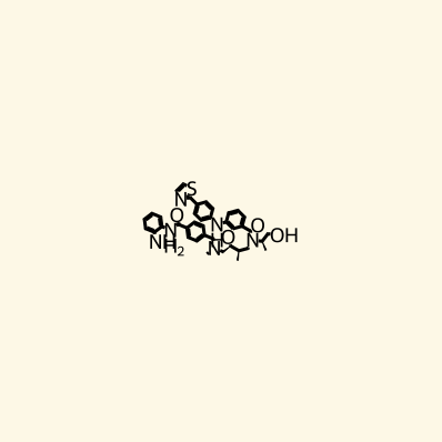 C[C@@H]1CN([C@H](C)CO)C(=O)c2cccc(Nc3ccc(-c4nccs4)cc3)c2O[C@@H]1CN(C)Cc1ccc(C(=O)Nc2ccccc2N)cc1